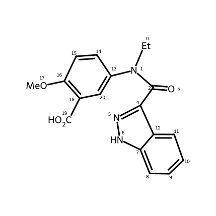 CCN(C(=O)c1n[nH]c2ccccc12)c1ccc(OC)c(C(=O)O)c1